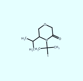 CC(C)C1COCC(=O)N1C(C)(C)I